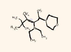 CCN(CC)/C(=C(/C)C(C)(C)C)C(C)N1CCOCC1